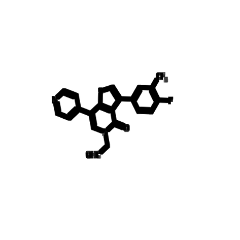 O=CCn1cc(-c2ccncc2)c2scc(-c3ccc(F)c(C(F)(F)F)c3)c2c1=O